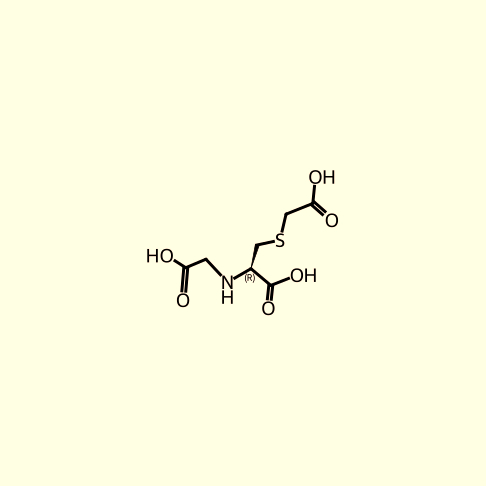 O=C(O)CN[C@@H](CSCC(=O)O)C(=O)O